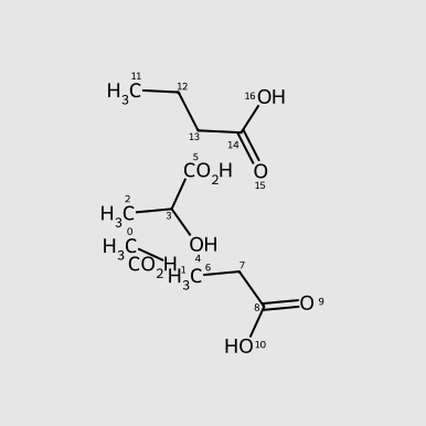 CC(=O)O.CC(O)C(=O)O.CCC(=O)O.CCCC(=O)O